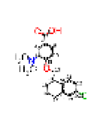 CN(C)c1cc(C(=O)O)ccc1OC[C@H]1CCCc2cc(Cl)ccc21